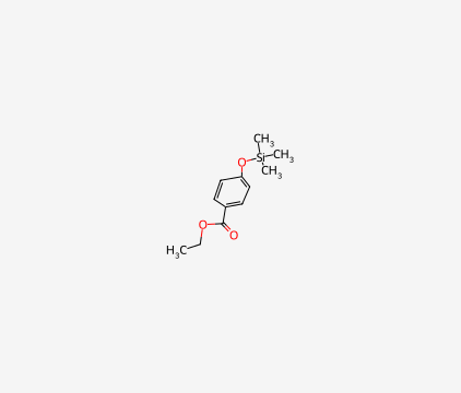 CCOC(=O)c1ccc(O[Si](C)(C)C)cc1